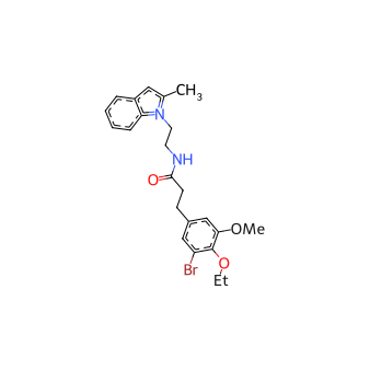 CCOc1c(Br)cc(CCC(=O)NCCn2c(C)cc3ccccc32)cc1OC